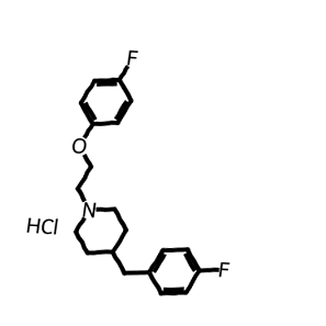 Cl.Fc1ccc(CC2CCN(CCOc3ccc(F)cc3)CC2)cc1